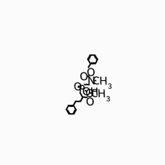 COC(=O)C(CCc1ccccc1)CP(=O)(O)CCN(C)C(=O)OCc1ccccc1